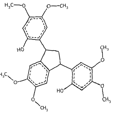 COc1cc(O)c(C2CC(c3cc(OC)c(OC)cc3O)c3cc(OC)c(OC)cc32)cc1OC